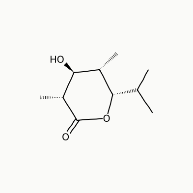 CC(C)[C@@H]1OC(=O)[C@H](C)[C@@H](O)[C@@H]1C